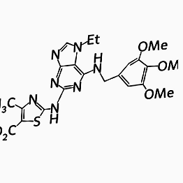 CCOC(=O)c1sc(Nc2nc(NCc3cc(OC)c(OC)c(OC)c3)c3c(ncn3CC)n2)nc1C